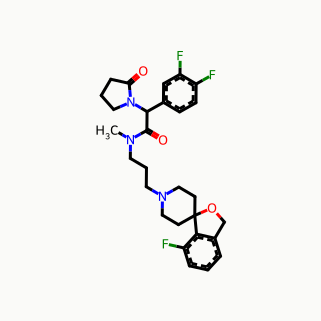 CN(CCCN1CCC2(CC1)OCc1cccc(F)c12)C(=O)C(c1ccc(F)c(F)c1)N1CCCC1=O